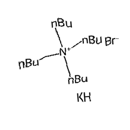 CCCC[N+](CCCC)(CCCC)CCCC.[Br-].[KH]